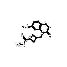 COc1ccc2c(c1)N(CC1CN(C(=O)OC(C)(C)C)C1)C(=O)CC2